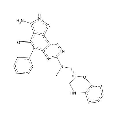 CN(C[C@H]1CNc2ccccc2O1)c1ncc2c3n[nH]c(N)c3c(=O)n(-c3ccccc3)c2n1